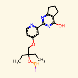 CCC(CC)(COc1ccnc(-c2nc(O)c3c(n2)CCC3)c1)OPI